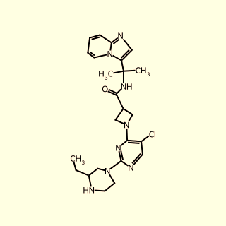 CCC1CN(c2ncc(Cl)c(N3CC(C(=O)NC(C)(C)c4cnc5ccccn45)C3)n2)CCN1